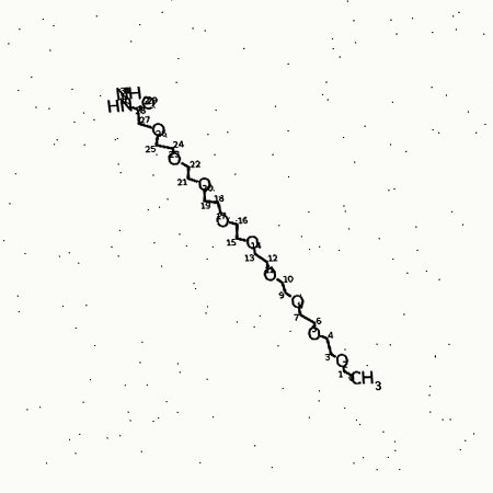 CCOCCOCCOCCOCCOCCOCCOCCOCCOCC(=O)NN